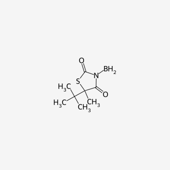 BN1C(=O)SC(C)(C(C)(C)C)C1=O